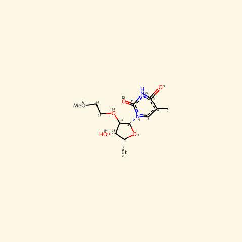 CC[C@H]1O[C@@H](n2cc(C)c(=O)[nH]c2=O)C(OCCOC)[C@H]1O